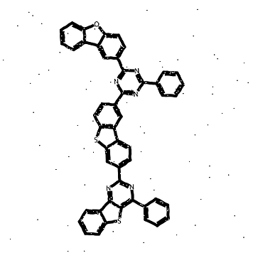 c1ccc(-c2nc(-c3ccc4oc5ccccc5c4c3)nc(-c3ccc4sc5cc(-c6nc(-c7ccccc7)c7sc8ccccc8c7n6)ccc5c4c3)n2)cc1